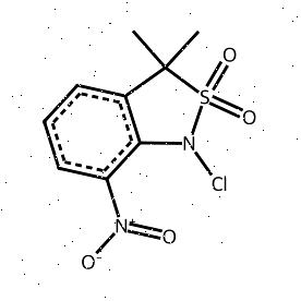 CC1(C)c2cccc([N+](=O)[O-])c2N(Cl)S1(=O)=O